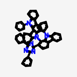 c1ccc(-c2nc(-c3ccccc3)nc(-c3ccc4c5ccccc5n(-c5ccccc5)c4c3-n3c4ccccc4c4c3ccc3c5ccccc5n(-c5ccccc5)c34)n2)cc1